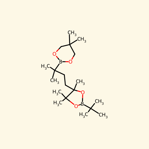 CC1(C)COB(C(C)(C)CCC2(C)OB(C(C)(C)C)OC2(C)C)OC1